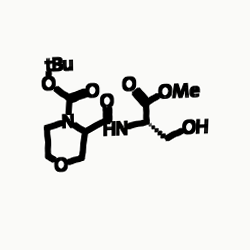 COC(=O)[C@H](CO)NC(=O)C1COCCN1C(=O)OC(C)(C)C